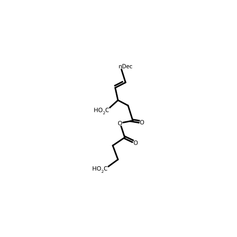 CCCCCCCCCCC=CC(CC(=O)OC(=O)CCC(=O)O)C(=O)O